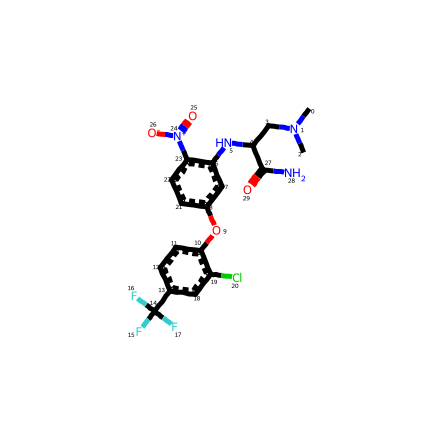 CN(C)CC(Nc1cc(Oc2ccc(C(F)(F)F)cc2Cl)ccc1[N+](=O)[O-])C(N)=O